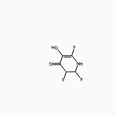 O=C1C(O)=C(F)NC(F)C1F